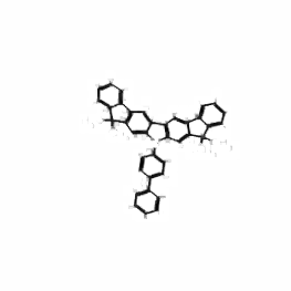 CC1(C)c2ccccc2-c2cc3c4cc5c(cc4n(-c4ccc(-c6ccccc6)cc4)c3cc21)C(C)(C)c1ccccc1-5